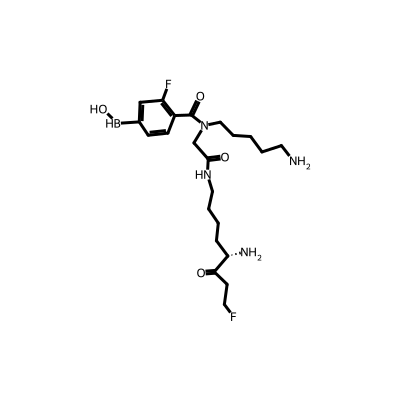 NCCCCCN(CC(=O)NCCCC[C@H](N)C(=O)CCF)C(=O)c1ccc(BO)cc1F